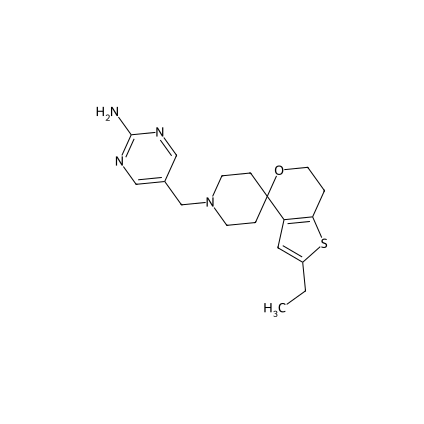 CCc1cc2c(s1)CCOC21CCN(Cc2cnc(N)nc2)CC1